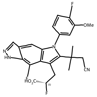 COc1cc(-n2c(C(C)(C)CC#N)c(C[C@H](F)C(=O)O)c3c(F)c4[nH]ncc4cc32)ccc1F